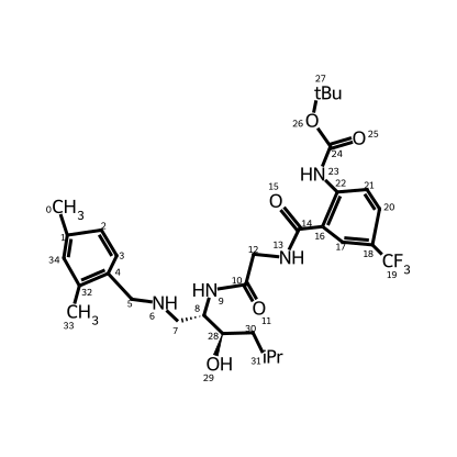 Cc1ccc(CNC[C@H](NC(=O)CNC(=O)c2cc(C(F)(F)F)ccc2NC(=O)OC(C)(C)C)[C@H](O)CC(C)C)c(C)c1